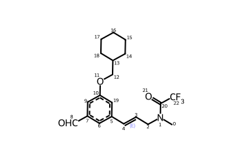 CN(C/C=C/c1cc(C=O)cc(OCC2CCCCC2)c1)C(=O)C(F)(F)F